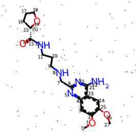 COc1cc2nc(CNCCCNC(=O)[C@@H]3CCCO3)nc(N)c2cc1OC